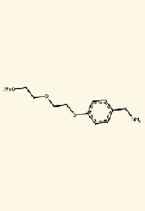 COCCOCCOc1ccc(CN)cc1